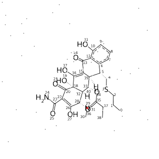 CCCSC[C@H]1c2cccc(O)c2C(=O)C2=C(O)[C@]3(O)C(=O)C(C(N)=O)=C(O)[C@@H](N(C)C)[C@@H]3[C@@H](OC(=O)CC)[C@@H]21